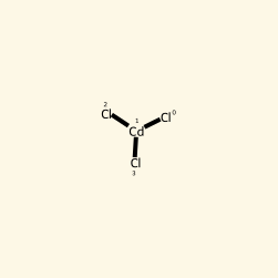 [Cl][Cd]([Cl])[Cl]